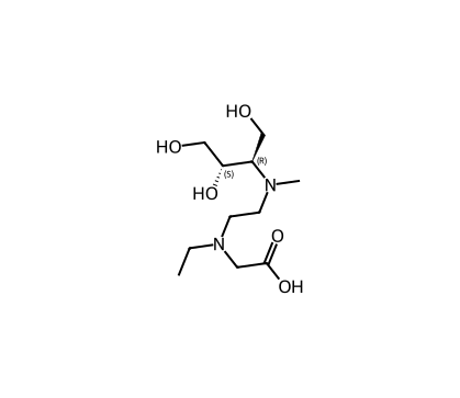 CCN(CCN(C)[C@H](CO)[C@H](O)CO)CC(=O)O